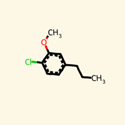 CCCc1ccc(Cl)c(OC)c1